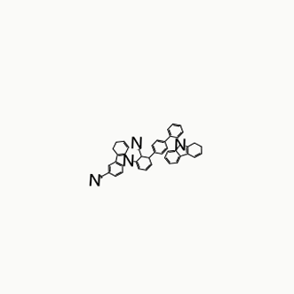 N#Cc1ccc2c(c1)c1c(n2C2=CC=CC(c3ccc(-c4ccccc4-n4c5c(c6ccccc64)C=CCC5)cc3)C2C#N)C=CCC1